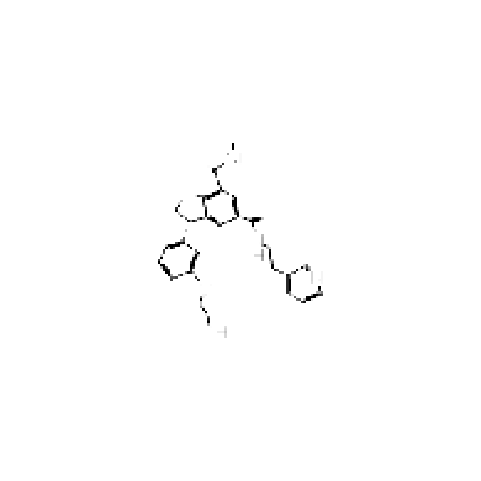 CNC(=O)c1cc(C(=O)NCCc2cccnc2)cc2c1O[C@@H](C)[C@@H]2c1cccc(OCCO)c1